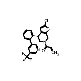 C=CC(=O)N1Cc2sc(Cl)cc2[C@@H](c2ccccc2-c2cncc(C(F)(F)F)c2)C1